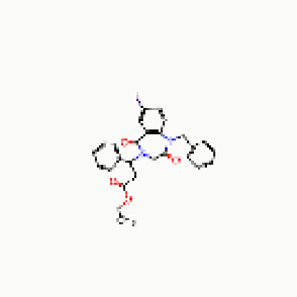 CCOC(=O)CC(c1ccccc1)N1CC(=O)N(Cc2ccccc2)c2ccc(I)cc2C1=O